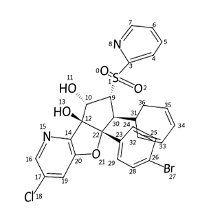 O=S(=O)(c1ccccn1)[C@H]1[C@@H](O)[C@@]2(O)c3ncc(Cl)cc3O[C@@]2(c2ccc(Br)cc2)[C@@H]1C1C=CC=CC1